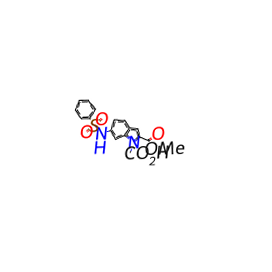 COC(=O)c1cc2ccc(NS(=O)(=O)c3ccccc3)cc2n1C(=O)O